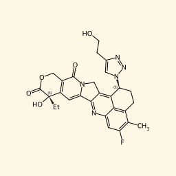 CC[C@@]1(O)C(=O)OCc2c1cc1n(c2=O)Cc2c-1nc1cc(F)c(C)c3c1c2[C@@H](n1cc(CCO)nn1)CC3